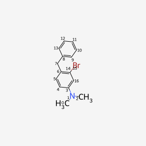 CN(C)c1ccc(Cc2ccccc2)c(Br)c1